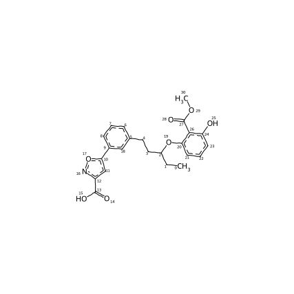 CCC(CCc1cccc(-c2cc(C(=O)O)no2)c1)Oc1cccc(O)c1C(=O)OC